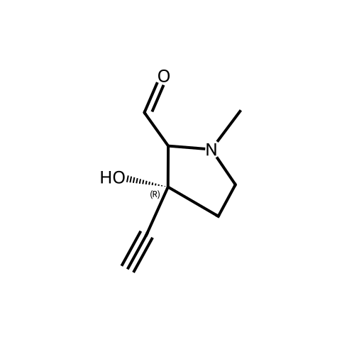 C#C[C@]1(O)CCN(C)C1C=O